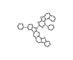 c1ccc(-c2ccc3c(c2)c2cc4ccc5c6ccccc6sc5c4cc2n3-c2nc(-c3ccccc3)c3c(n2)oc2ccc4ccccc4c23)cc1